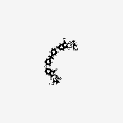 CC(C)(c1ccc(Oc2ccc3c(c2)C(=O)N(OS(=O)(=O)C(F)(F)CO)C3=O)cc1)c1ccc(Oc2ccc3c(c2)C(=O)N(OS(=O)(=O)C(F)(F)CO)C3=O)cc1